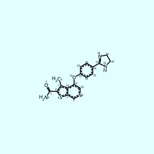 Cc1c(C(N)=O)sc2cncc(Oc3ccc(C4=NCCN4)cc3)c12